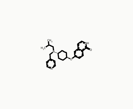 CC(C)CN(Cc1ccncc1)[C@H]1CC[C@H](Oc2ccc3c(=O)[nH]ccc3c2)CC1